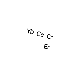 [Ce].[Cr].[Er].[Yb]